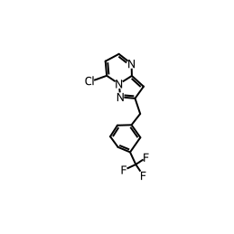 FC(F)(F)c1cccc(Cc2cc3nccc(Cl)n3n2)c1